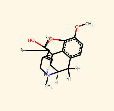 [2H]C1([2H])c2ccc(OC)c3c2[C@]24CCN(C)[C@H]1[C@@H]2C=CC([2H])(O)C4([2H])O3